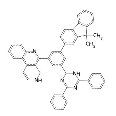 CC1(C)c2ccccc2-c2ccc(-c3cc(-c4nc5ccccc5c5c4CNC=C5)cc(C4N=C(c5ccccc5)N=C(c5ccccc5)N4)c3)cc21